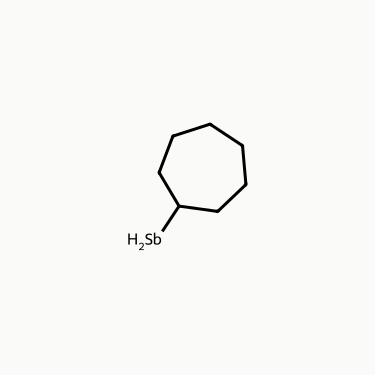 [SbH2][CH]1CCCCCC1